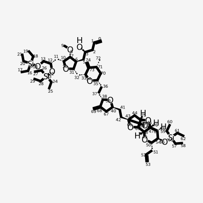 C=CC[C@H](O)C[C@@H]1[C@@H](OC)[C@@H](C[C@@H](CO[Si](CC)(CC)CC)O[Si](CC)(CC)CC)O[C@H]1C[C@H]1O[C@@H](CC[C@@H]2O[C@@H](CC[C@@]34C[C@@H]5O[C@H]6[C@H](O[C@@H](CC=C)[C@H](O[Si](CC)(CC)CC)[C@H]6O3)[C@H]5O4)CC2=C)C[C@@H](C)C1=C